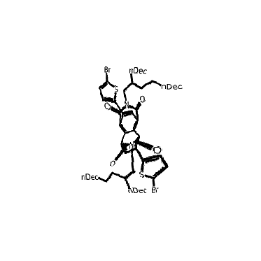 CCCCCCCCCCCCC(CCCCCCCCCC)Cn1c(=O)c2cc(-c3ccc(Br)s3)c(c1=O)c1c3cc(-c4ccc(Br)s4)c(c(=O)n(CC(CCCCCCCCCC)CCCCCCCCCCCC)c3=O)c21